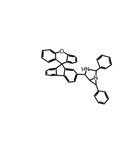 c1ccc(C2NC(c3ccc4c(c3)C3(c5ccccc5Oc5ccccc53)c3ccccc3-4)C3C(c4ccccc4)N23)cc1